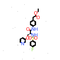 CCOC(=O)Cc1ccc(NC(=O)[C@H](COc2cccnc2)NS(=O)(=O)c2ccc(F)cc2)cc1